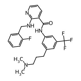 CN(C)CCCc1cc(NC(=O)c2cccnc2NCc2ccccc2F)cc(C(F)(F)F)c1